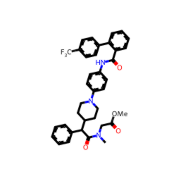 COC(=O)CN(C)C(=O)C(c1ccccc1)C1CCN(c2ccc(NC(=O)c3ccccc3-c3ccc(C(F)(F)F)cc3)cc2)CC1